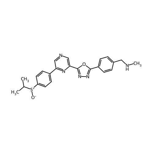 CNCc1ccc(-c2nnc(-c3cncc(-c4ccc([S+]([O-])C(C)C)cc4)n3)o2)cc1